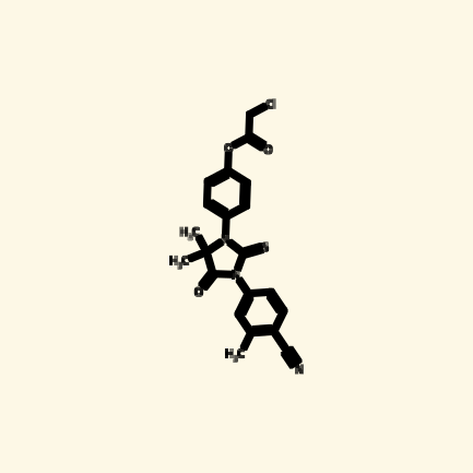 Cc1cc(N2C(=O)C(C)(C)N(c3ccc(OC(=O)CCl)cc3)C2=S)ccc1C#N